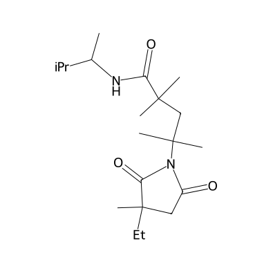 CCC1(C)CC(=O)N(C(C)(C)CC(C)(C)C(=O)NC(C)C(C)C)C1=O